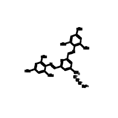 CCCCc1cc(CCCC)c(N=Cc2cc(C)cc(C=Nc3c(CCCC)cc(CCCC)cc3CCCC)n2)c(CCCC)c1.[Cl-].[Cl-].[Cl-].[Fe+3]